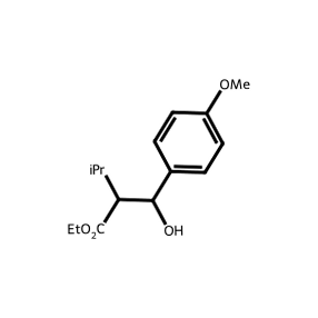 CCOC(=O)C(C(C)C)C(O)c1ccc(OC)cc1